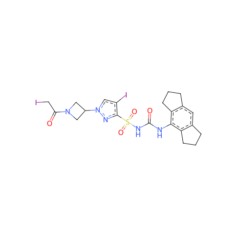 O=C(Nc1c2c(cc3c1CCC3)CCC2)NS(=O)(=O)c1nn(C2CN(C(=O)CI)C2)cc1I